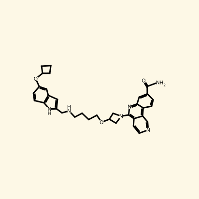 NC(=O)c1ccc2c(c1)nc(N1CC(OCCCCNCc3cc4cc(OC5CCC5)ccc4[nH]3)C1)c1ccncc12